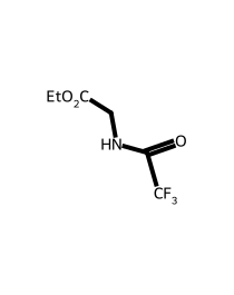 CCOC(=O)CNC(=O)C(F)(F)F